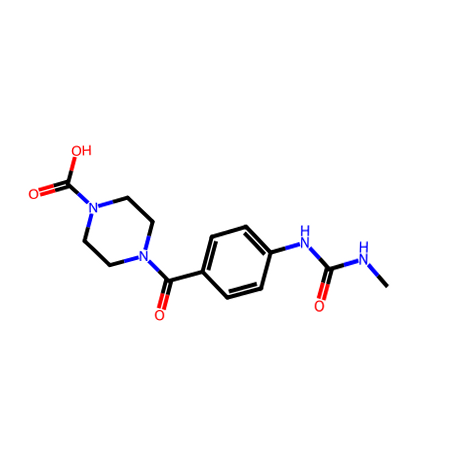 CNC(=O)Nc1ccc(C(=O)N2CCN(C(=O)O)CC2)cc1